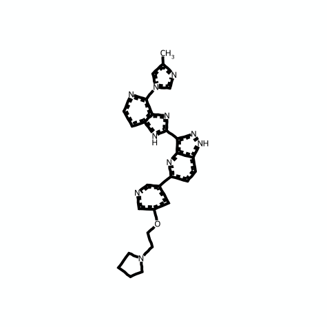 Cc1cn(-c2nccc3[nH]c(-c4n[nH]c5ccc(-c6cncc(OCCN7CCCC7)c6)nc45)nc23)cn1